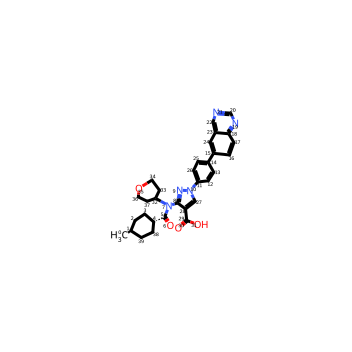 C[C@H]1CC[C@H](C(=O)N(c2nn(-c3ccc(-c4ccc5ncncc5c4)cc3)cc2C(=O)O)C2CCOCC2)CC1